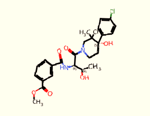 COC(=O)c1cccc(C(=O)N[C@@H](C(=O)N2CC[C@](O)(c3ccc(Cl)cc3)C(C)(C)C2)[C@@H](C)O)c1